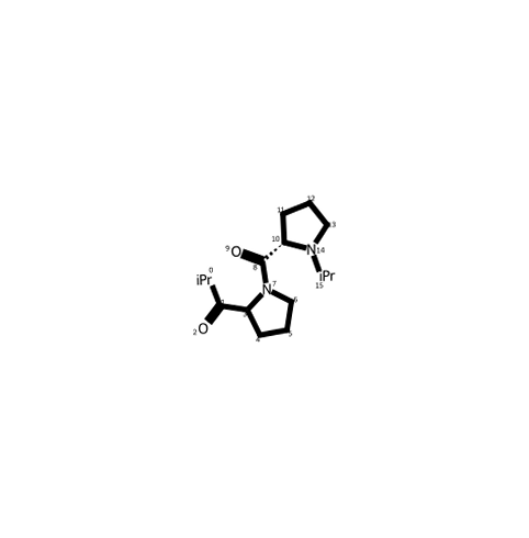 CC(C)C(=O)C1CCCN1C(=O)[C@@H]1CCCN1C(C)C